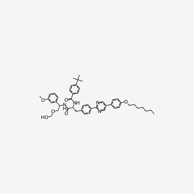 CCCCCCCOc1ccc(-c2cnc(-c3ccc(C[C@H](NC(=O)c4ccc(C(C)(C)C)cc4)C(=O)NC(COCO)c4cccc(OC)c4)cc3)nc2)cc1